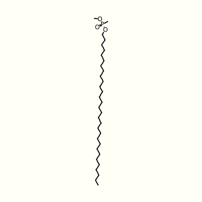 CCCCCCCCCCCCCCCCCCCCCCCCCCCCCCOP(C)(=O)OC